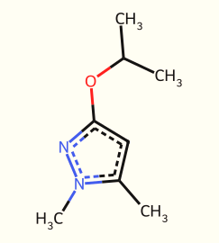 Cc1cc(OC(C)C)nn1C